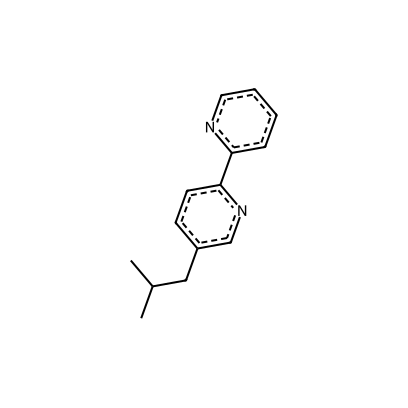 CC(C)Cc1ccc(-c2ccccn2)nc1